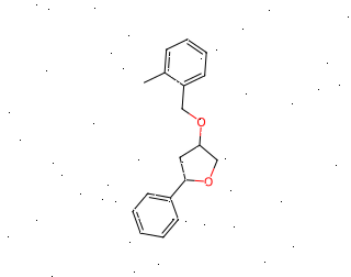 Cc1ccccc1COC1COC(c2ccccc2)C1